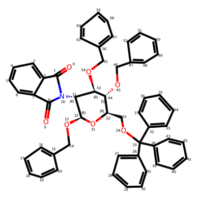 O=C1c2ccccc2C(=O)N1[C@H]1[C@H](OCc2ccccc2)O[C@H](COC(c2ccccc2)(c2ccccc2)c2ccccc2)[C@@H](OCc2ccccc2)[C@@H]1OCc1ccccc1